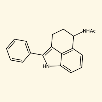 CC(=O)NC1CCc2c(-c3ccccc3)[nH]c3cccc1c23